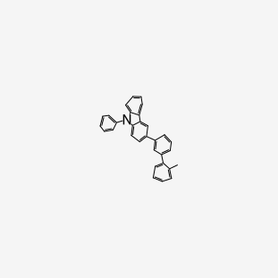 Cc1ccccc1-c1cccc(-c2ccc3c(c2)c2ccccc2n3-c2ccccc2)c1